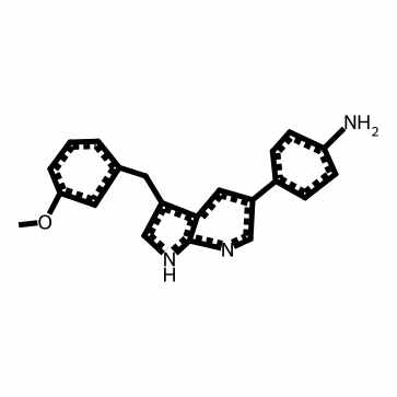 COc1cccc(Cc2c[nH]c3ncc(-c4ccc(N)cc4)cc23)c1